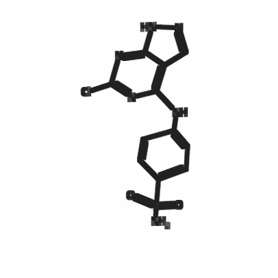 NS(=O)(=O)c1ccc(Nc2nc(Cl)nc3[nH]ncc23)cc1